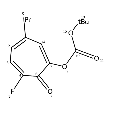 CC(C)c1ccc(F)c(=O)c(OC(=O)OC(C)(C)C)c1